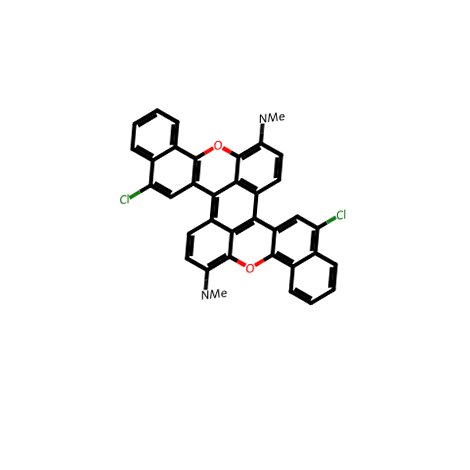 CNc1ccc2c3c1oc1c4ccccc4c(Cl)cc1c3c1ccc(NC)c3oc4c5ccccc5c(Cl)cc4c2c31